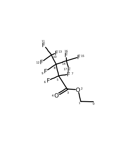 CCOC(=O)C(F)(F)C(F)(C(F)(F)F)C(F)(F)F